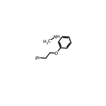 CC(C)CCOc1ccccc1.CN